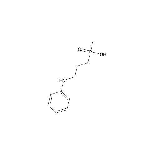 CP(=O)(O)CCCNc1ccccc1